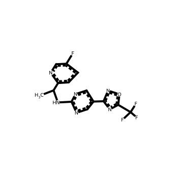 CC(Nc1ncc(-c2noc(C(F)(F)F)n2)cn1)c1ccc(F)cn1